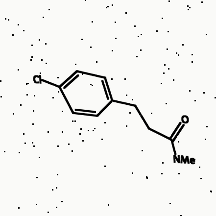 [CH2]NC(=O)CCc1ccc(Cl)cc1